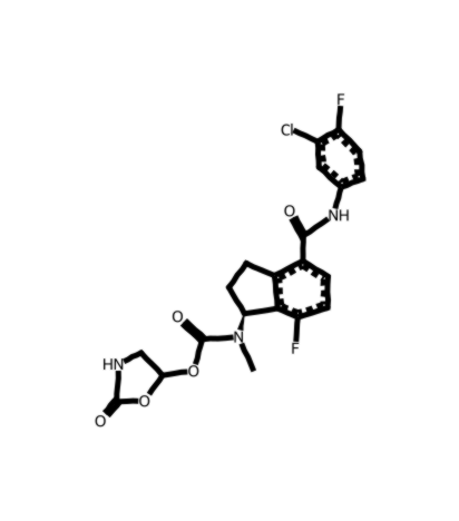 CN(C(=O)OC1CNC(=O)O1)[C@H]1CCc2c(C(=O)Nc3ccc(F)c(Cl)c3)ccc(F)c21